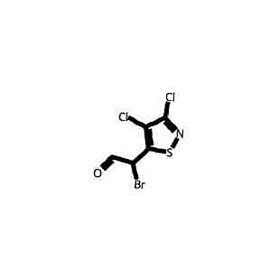 O=CC(Br)c1snc(Cl)c1Cl